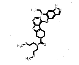 CCOc1cc2[nH]ncc2cc1Nc1ncnc2sc3c(c12)CCC(C(=O)N(CCOC)CCOC)C3